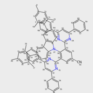 Cc1cc(C)c(-c2ccc3c(c2)c2cc(-c4c(C)cc(C)cc4C)ccc2n3-c2c(-c3nc(-c4ccccc4)cc(-c4ccccc4)n3)cc(C#N)cc2-c2nc(-c3ccccc3)cc(-c3ccccc3)n2)c(C)c1